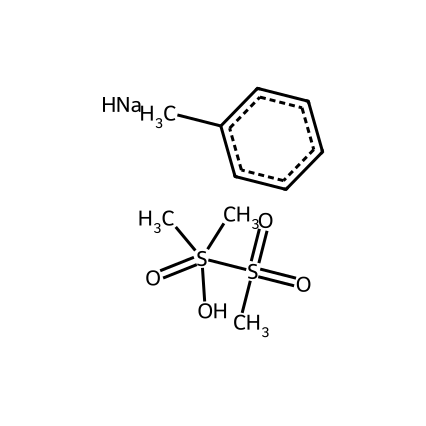 CS(=O)(=O)S(C)(C)(=O)O.Cc1ccccc1.[NaH]